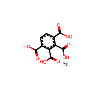 O=C(O)c1ccc(C(=O)O)c(C(=O)O)c1C(=O)O.[Eu]